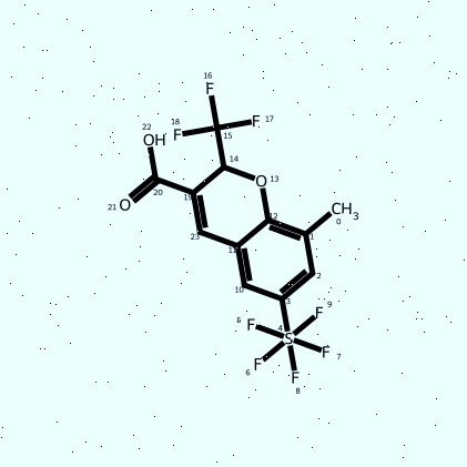 Cc1cc(S(F)(F)(F)(F)F)cc2c1OC(C(F)(F)F)C(C(=O)O)=C2